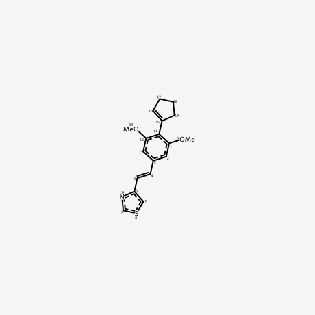 COc1cc(C=Cc2cscn2)cc(OC)c1C1=CCCC1